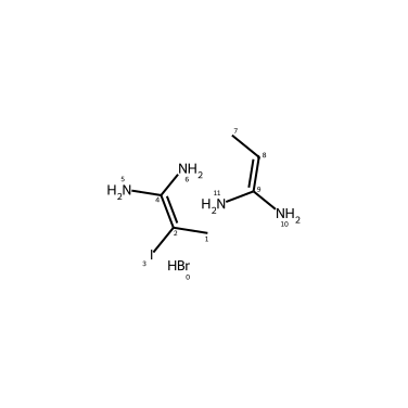 Br.CC(I)=C(N)N.CC=C(N)N